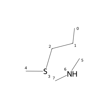 CCCSC.CNC